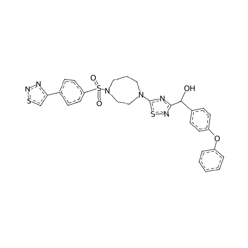 O=S(=O)(c1ccc(-c2csnn2)cc1)N1CCCN(c2nc(C(O)c3ccc(Oc4ccccc4)cc3)ns2)CC1